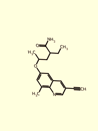 C#Cc1cnc2c(C)cc(OC(C)CC(CC)C(N)=O)cc2c1